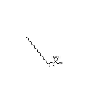 CCCCCCCCCCCCCCCC(C)CNC(CO)(CO)CO